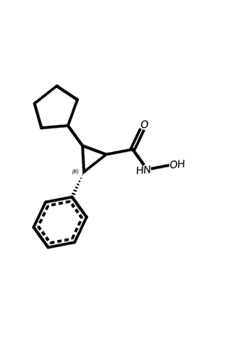 O=C(NO)C1C(C2CCCC2)[C@H]1c1ccccc1